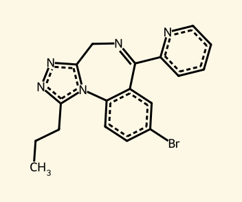 CCCc1nnc2n1-c1ccc(Br)cc1C(c1ccccn1)=NC2